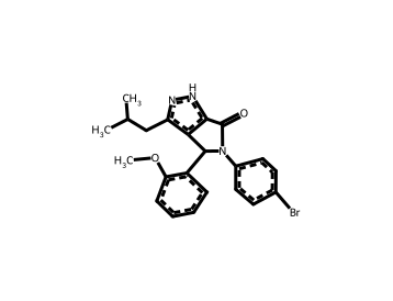 COc1ccccc1C1c2c(CC(C)C)n[nH]c2C(=O)N1c1ccc(Br)cc1